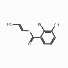 CCc1c(C)cccc1C(=O)S/C=C/O